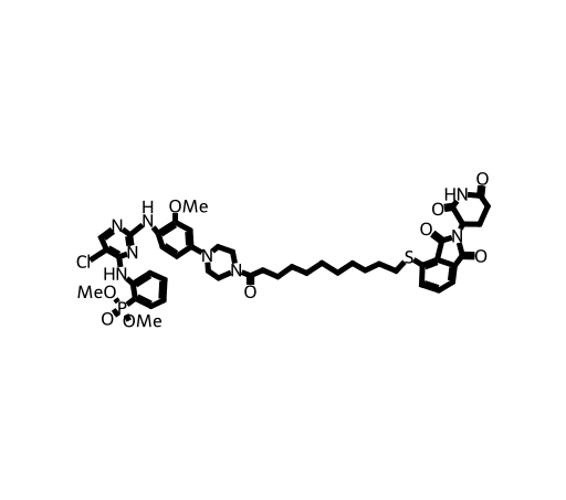 COc1cc(N2CCN(C(=O)CCCCCCCCCCSc3cccc4c3C(=O)N(C3CCC(=O)NC3=O)C4=O)CC2)ccc1Nc1ncc(Cl)c(Nc2ccccc2P(=O)(OC)OC)n1